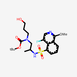 COc1ncc(F)c2c(S(=O)(=O)NC(C)CN(CCCO)C(=O)OC(C)(C)C)cccc12